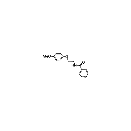 COc1ccc(OCCNC(=O)c2ccccc2)cc1